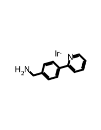 NCc1ccc(-c2ccccn2)cc1.[Ir]